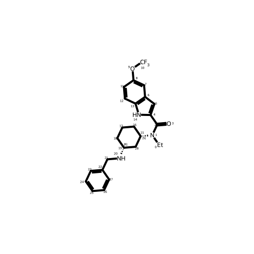 CCN(C(=O)c1cc2cc(OC(F)(F)F)ccc2[nH]1)[C@H]1CCC[C@@H](NCc2ccccc2)C1